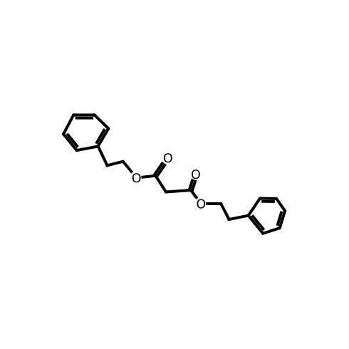 O=C(CC(=O)OCCc1ccccc1)OCCc1ccccc1